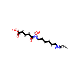 CNCCCCCCN(O)C(=O)CCCC(=O)O